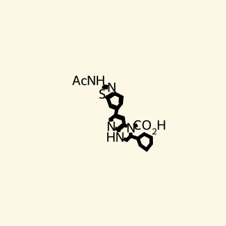 CC(=O)Nc1nc2ccc(-c3cnc4c(c3)N(C(=O)O)C(C3CCCCC3)CN4)cc2s1